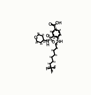 O=C(O)c1ccc(NCCCCCCCC(F)(F)F)c(S(=O)(=O)NC2CCOCC2)c1